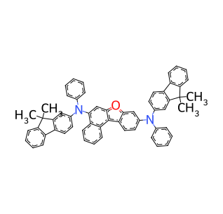 CC1(C)c2ccccc2-c2ccc(N(c3ccccc3)c3ccc4c(c3)oc3cc(N(c5ccccc5)c5ccc6c(c5)C(C)(C)c5ccccc5-6)c5ccccc5c34)cc21